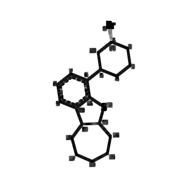 Br[C@@H]1CCCC(c2cccc3c2SC2CCCCCC32)C1